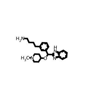 CN1CCC(OC(c2cccc(CCCCN)c2)c2nc3ccccc3[nH]2)CC1